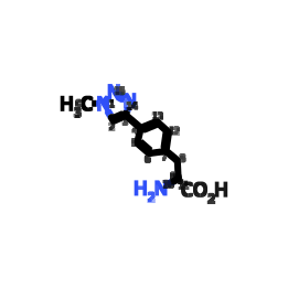 Cn1cc(-c2ccc(C[C@H](N)C(=O)O)cc2)nn1